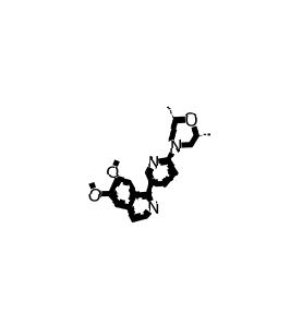 COc1cc2ccnc(-c3ccc(N4C[C@@H](C)O[C@@H](C)C4)nc3)c2cc1OC